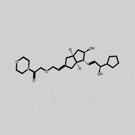 O=C(COCC=C1C[C@H]2C[C@@H](O)[C@H](/C=C/[C@H](O)C3CCCC3)[C@H]2C1)N1CCOCC1